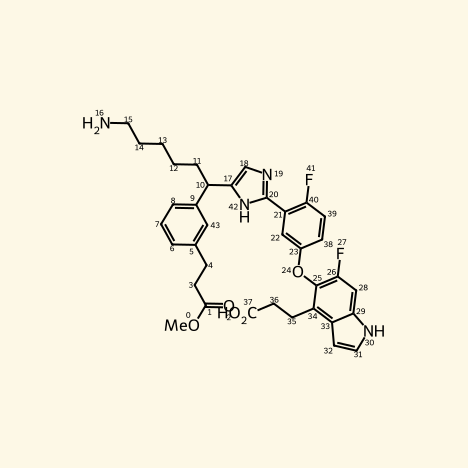 COC(=O)CCc1cccc(C(CCCCCN)c2cnc(-c3cc(Oc4c(F)cc5[nH]ccc5c4CCC(=O)O)ccc3F)[nH]2)c1